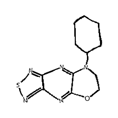 C1CCC(N2CCOc3nc4nsnc4nc32)CC1